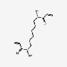 C=CC(=O)N(CCCCCCN(C(=O)C=C)C(C)C)C(C)C